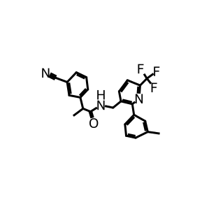 Cc1cccc(-c2nc(C(F)(F)F)ccc2CNC(=O)C(C)c2cccc(C#N)c2)c1